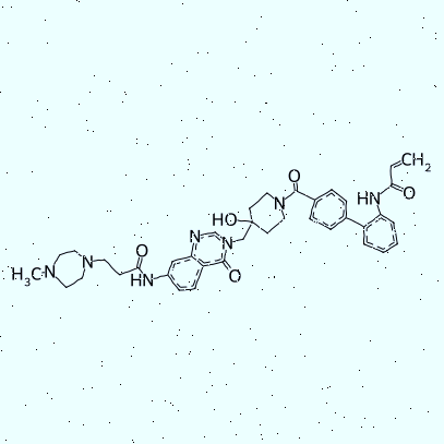 C=CC(=O)Nc1ccccc1-c1ccc(C(=O)N2CCC(O)(Cn3cnc4cc(NC(=O)CCN5CCN(C)CC5)ccc4c3=O)CC2)cc1